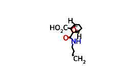 C=CCCNC(=O)C1C(C(=O)O)[C@@H]2CC[C@H]1O2